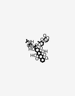 COc1cccc2c1C(=O)c1c(O)c3c(c(O)c1C2=O)CC(O)(C(=O)NCC(=O)NC(C)C)CC3OC1CC2C(OC3C(OC)OCCN23)C(C)O1